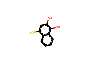 Oc1cc(S)c2ccccc2c1O